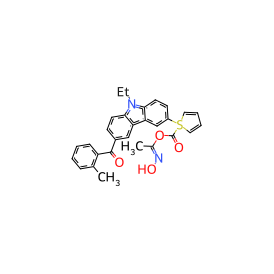 CCn1c2ccc(C(=O)c3ccccc3C)cc2c2cc(S3(C(=O)OC(C)=NO)C=CC=C3)ccc21